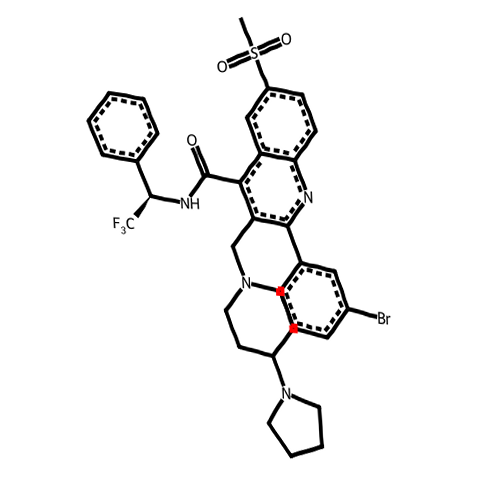 CS(=O)(=O)c1ccc2nc(-c3cccc(Br)c3)c(CN3CCC(N4CCCC4)CC3)c(C(=O)N[C@H](c3ccccc3)C(F)(F)F)c2c1